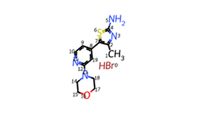 Br.Cc1nc(N)sc1-c1ccnc(N2CCOCC2)c1